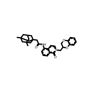 CC12CC3CC(C)(C1)CC(CC(=O)Nc1cccc4c(=O)n(CC5COc6ccccc6O5)ccc14)(C3)C2